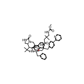 COC(=O)NCC(C)(C)CC(=O)NC(Cc1ccc(-c2ccccn2)cc1)CC(O)C(Cc1ccccc1)NC(=O)C(C1CNC(=O)N1Cc1ccnc2ccccc12)C(C)(C)C